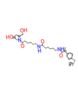 CC(C)Cc1ccc([C@H](C)C(=O)NCCCCCC(=O)NCCCCCC(=O)N2C[C@H](O)C[C@H]2CO)cc1